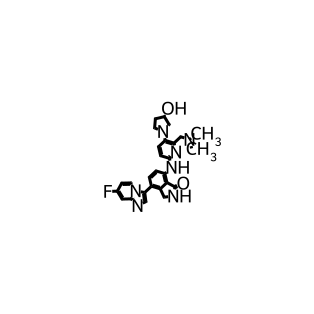 CN(C)Cc1nc(Nc2ccc(-c3cnc4cc(F)ccn34)c3c2C(=O)NC3)ccc1N1CC[C@H](O)C1